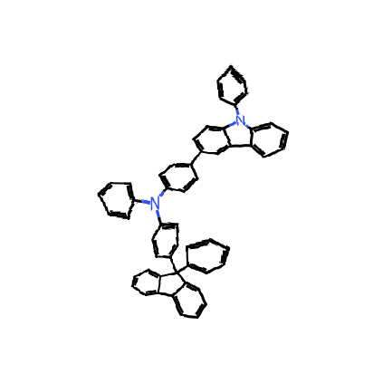 c1ccc(N(c2ccc(-c3ccc4c(c3)c3ccccc3n4-c3ccccc3)cc2)c2ccc(C3(c4ccccc4)c4ccccc4-c4ccccc43)cc2)cc1